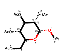 CCCO[C@@H]1OC(COC(C)=O)[C@H](OC(C)=O)C(OC(C)=O)[C@@H]1NC(C)=O